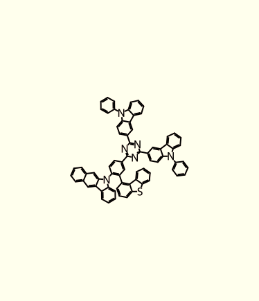 c1ccc(-n2c3ccccc3c3cc(-c4nc(-c5ccc(-n6c7ccccc7c7cc8ccccc8cc76)c(-c6cccc7sc8ccccc8c67)c5)nc(-c5ccc6c(c5)c5ccccc5n6-c5ccccc5)n4)ccc32)cc1